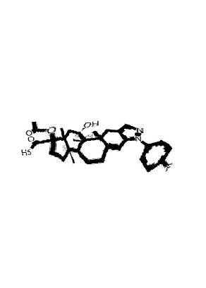 CC(=O)OC1(C(=O)S)CC[C@@]2(C)C3CCC4=Cc5c(cnn5-c5ccc(F)cc5)CC4(C)[C@@]3(C)[C@@H](O)CC12C